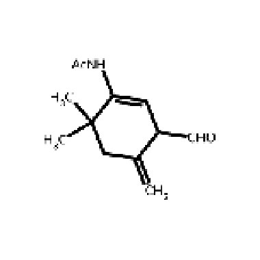 C=C1CC(C)(C)C(NC(C)=O)=CC1C=O